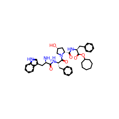 N[C@H](Cc1c[nH]c2ccccc12)C(=O)N[C@@H](Cc1ccccc1)C(=O)N1C[C@H](O)C[C@@H]1C(=O)N[C@@H](Cc1ccccc1)C(=O)OC1CCCCCC1